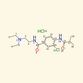 CCN(CC)CCNC(=O)c1ccc(NC(=O)C(C)C)c(Cl)c1.Cl